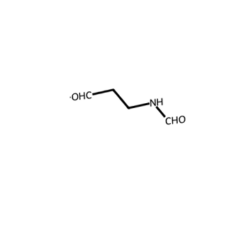 O=[C]CCNC=O